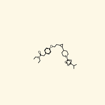 CCN(CC)C(=O)Cc1ccc(OCCC2CC2C2CCN(c3nc(C(C)C)no3)CC2)cc1